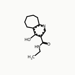 CCNC(=O)c1cnc2c(c1O)CCCCC2